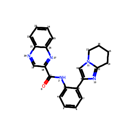 O=C(Nc1ccccc1-c1cn2c(n1)CCCC2)c1cnc2ccccc2n1